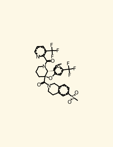 CCC[C@H]1N(C(=O)c2ncccc2C(F)(F)F)CCC[C@@]1(Oc1csc(C(F)(F)F)c1)C(=O)N1CCc2cc(S(C)(=O)=O)ccc2C1